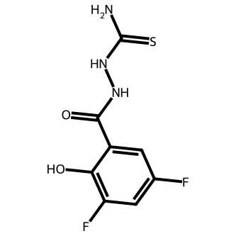 NC(=S)NNC(=O)c1cc(F)cc(F)c1O